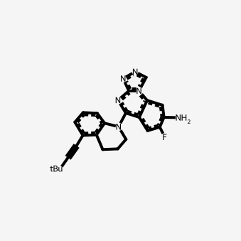 CC(C)(C)C#Cc1cccc2c1CCCN2c1nc2nncn2c2cc(N)c(F)cc12